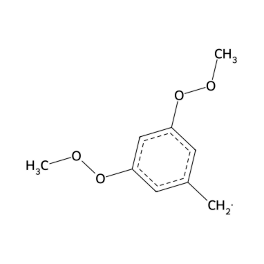 [CH2]c1cc(OOC)cc(OOC)c1